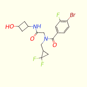 O=C(CN(CC1CC1(F)F)C(=O)c1ccc(Br)c(F)c1)NC1CC(O)C1